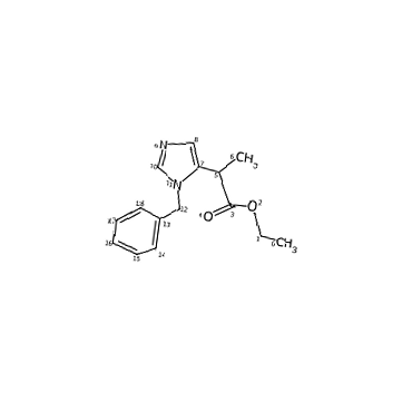 CCOC(=O)C(C)c1cncn1Cc1ccccc1